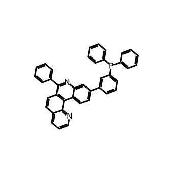 c1ccc(-c2nc3cc(-c4cccc(P(c5ccccc5)c5ccccc5)c4)ccc3c3c2ccc2cccnc23)cc1